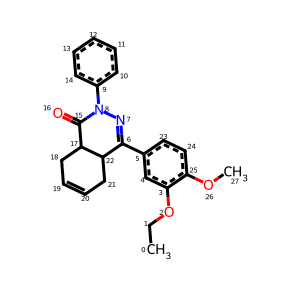 CCOc1cc(C2=NN(c3ccccc3)C(=O)C3CC=CCC23)ccc1OC